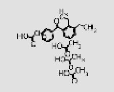 CC(=O)O.CC(=O)O.CC(=O)O.CC(=O)O.CCc1cccc(C(=O)c2ccccc2)c1CC